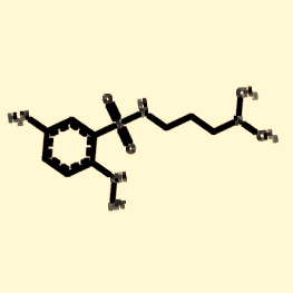 CCCNc1ccc(N)cc1S(=O)(=O)NCCCN(C)C